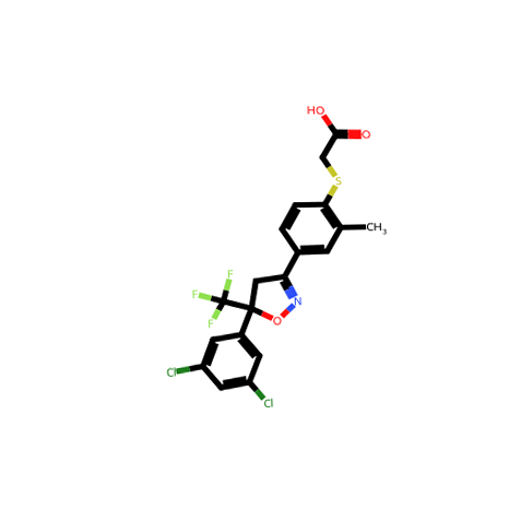 Cc1cc(C2=NOC(c3cc(Cl)cc(Cl)c3)(C(F)(F)F)C2)ccc1SCC(=O)O